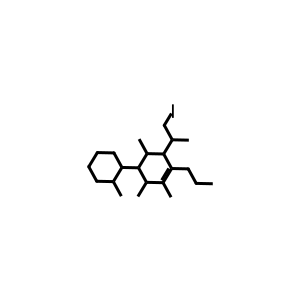 CCCC1=C(C)C(C)C(C2CCCCC2C)C(C)C1C(C)CI